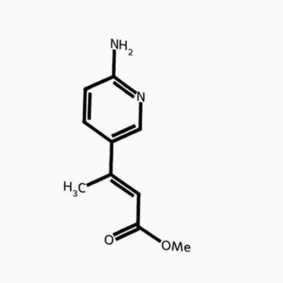 COC(=O)C=C(C)c1ccc(N)nc1